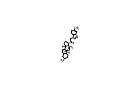 Cc1ccc2c(c1)nnn2CC(=O)[C@H]1CC[C@H]2C3(C)CCC4C[C@@H](C)CC[C@@H]4[C@H]3CC[C@]12C